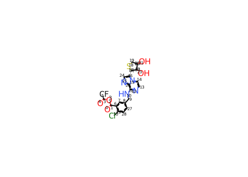 O=C(OC(=O)C(F)(F)F)c1cc(CNc2nccn3c([C@@H]4SC[C@@H](O)[C@H]4O)cnc23)ccc1Cl